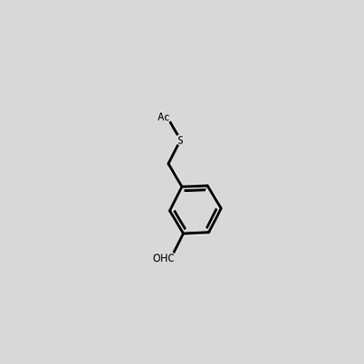 CC(=O)SCc1cccc(C=O)c1